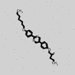 CCCCCCCOc1ccc(-c2ncc(-c3ccc(OCC(F)CCC)cc3)cn2)cc1